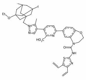 C=Cc1nc(NC(=O)N2CCOc3ccc(-c4ccc(-c5cnn(CC67CC8(C)CC(I)(C6)CC(OCC)(C8)C7)c5C)c(C(=O)O)n4)cc32)sc1C=C